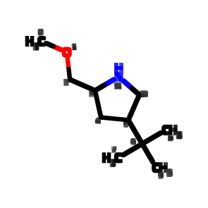 COCC1CC(C(C)(C)C)CN1